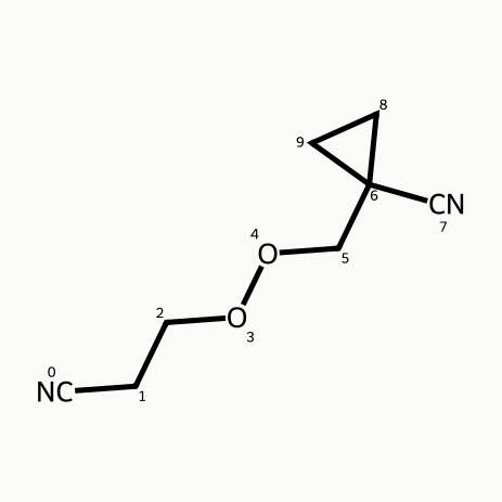 N#CCCOOCC1(C#N)CC1